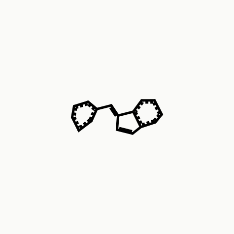 C1=Cc2ccccc2C1=Cc1ccccc1